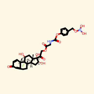 C[C@]12C=CC(=O)C=C1CC[C@H]1[C@@H]3C[C@@H](O)[C@](O)(C(=O)COC(=O)CNC(=O)Oc4ccc(CON(O)O)cc4)[C@@]3(C)C[C@H](O)[C@@]12F